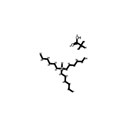 CC(C)(C)C(=O)O.CCCCCC[N+](C)(CCCCCC)CCCCCC